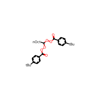 [CH2]CCCCCCC[C](OOC(=O)c1ccc(C(C)(C)C)cc1)OOC(=O)c1ccc(C(C)(C)C)cc1